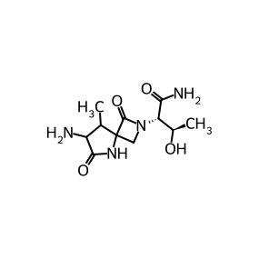 CC1C(N)C(=O)NC12CN([C@H](C(N)=O)[C@@H](C)O)C2=O